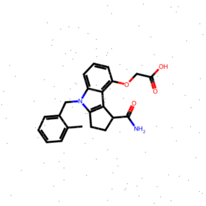 Cc1ccccc1Cn1c2c(c3c(OCC(=O)O)cccc31)C(C(N)=O)CC2